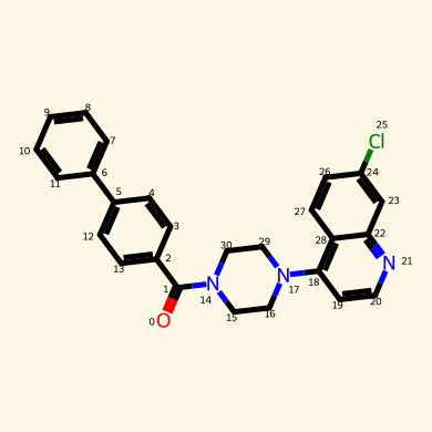 O=C(c1ccc(-c2ccccc2)cc1)N1CCN(c2ccnc3cc(Cl)ccc23)CC1